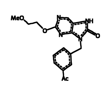 COCCOc1ncc2[nH]c(=O)n(Cc3cccc(C(C)=O)c3)c2n1